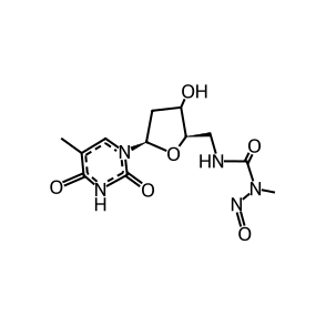 Cc1cn([C@H]2CC(O)[C@@H](CNC(=O)N(C)N=O)O2)c(=O)[nH]c1=O